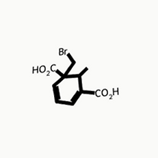 CC1C(C(=O)O)=CC=CC1(CBr)C(=O)O